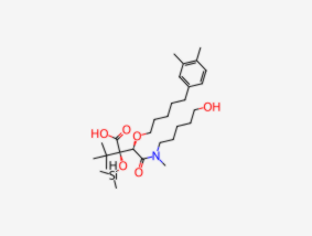 Cc1ccc(CCCCCO[C@@H](C(=O)N(C)CCCCCO)[C@@](O[SiH](C)C)(C(=O)O)C(C)(C)C)cc1C